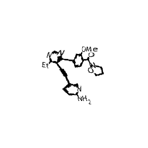 CCc1ncnc(-c2ccc(C(=O)N3CCCO3)c(OC)c2)c1C#Cc1ccc(N)nc1